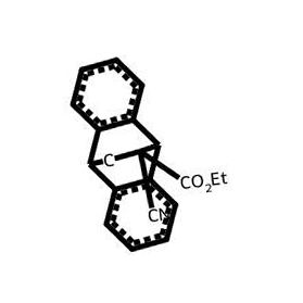 CCOC(=O)C1(C#N)CC2c3ccccc3C1c1ccccc12